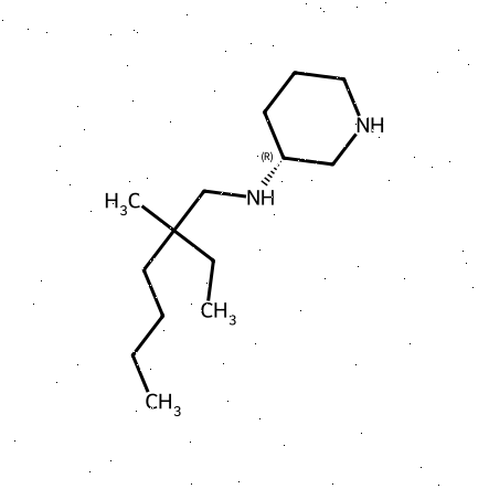 CCCCC(C)(CC)CN[C@@H]1CCCNC1